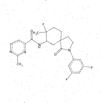 Cc1nccc(C(=O)NC2CC3(CCN(c4cc(F)cc(F)c4)C3=O)CCC2(C)F)n1